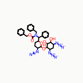 [N-]=[N+]=NC1CCC(C(c2ccccc2)N(Cc2ccccc2)C(=O)OCc2ccccc2)OC1OC1C(N=[N+]=[N-])CC(N=[N+]=[N-])C(O)C1O